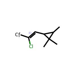 CC1C(/C=[C](\Cl)[Cf])C1(C)C